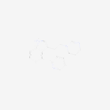 C1=CC(c2ccncc2)N(CCc2c[nH]c3ccccc23)C=N1